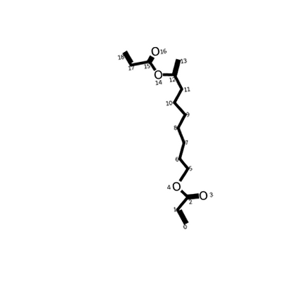 C=CC(=O)OCCCCCCCC(=C)OC(=O)C=C